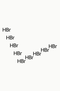 Br.Br.Br.Br.Br.Br.Br.Br.Br